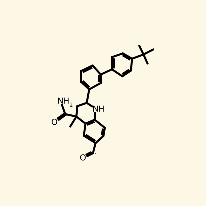 CC(C)(C)c1ccc(-c2cccc(C3CC(C)(C(N)=O)c4cc([C]=O)ccc4N3)c2)cc1